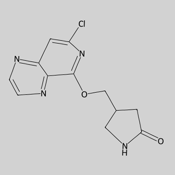 O=C1CC(COc2nc(Cl)cc3nccnc23)CN1